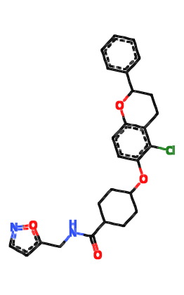 O=C(NCc1ccno1)C1CCC(Oc2ccc3c(c2Cl)CCC(c2ccccc2)O3)CC1